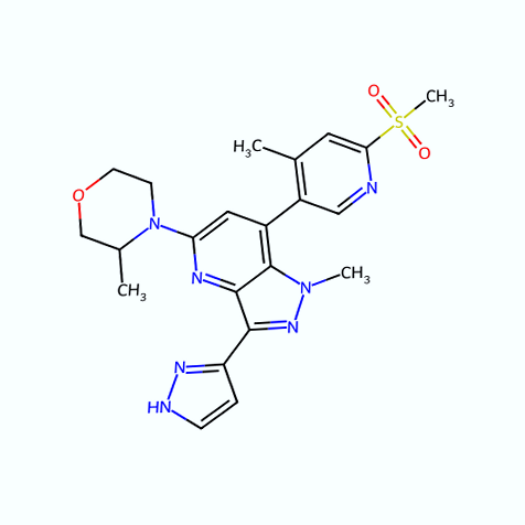 Cc1cc(S(C)(=O)=O)ncc1-c1cc(N2CCOCC2C)nc2c(-c3cc[nH]n3)nn(C)c12